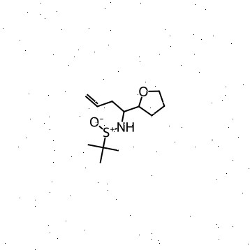 C=CCC(N[S+]([O-])C(C)(C)C)C1CCCO1